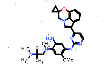 COc1cc(N(C)CC(C)(C)N(C)C)c(N)cc1Nc1nccc(-c2cn3c4c(cccc24)OC2(CC2)C3)n1